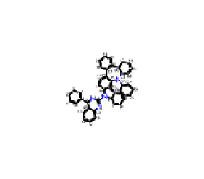 c1ccc(-c2nc(-n3c4ccccc4c4c5c(ccc43)-c3ccccc3-c3ccccc3N5c3ccccc3)nc3ccccc23)cc1